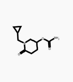 NC(=O)OC1CCC(=O)N(CC2CC2)C1